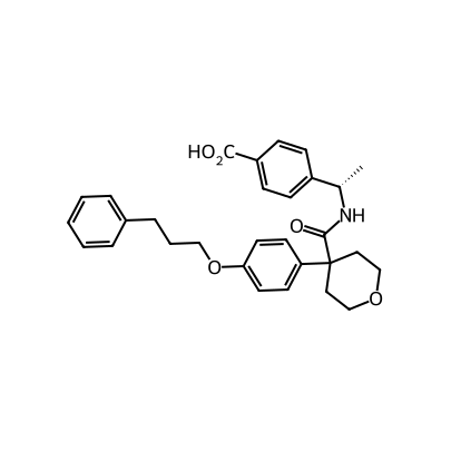 C[C@H](NC(=O)C1(c2ccc(OCCCc3ccccc3)cc2)CCOCC1)c1ccc(C(=O)O)cc1